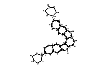 c1cc2cc3c(cc2cc1N1CCOCC1)oc1ccc2oc4cc5cc(N6CCOCC6)ccc5cc4c2c13